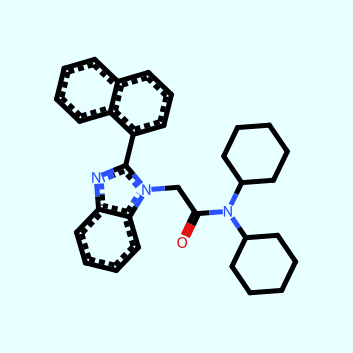 O=C(Cn1c(-c2cccc3ccccc23)nc2ccccc21)N(C1CCCCC1)C1CCCCC1